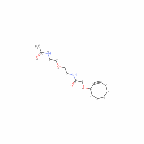 O=C(COC1C#CCCCCC1)NCCOCCNC(=O)C(F)(F)F